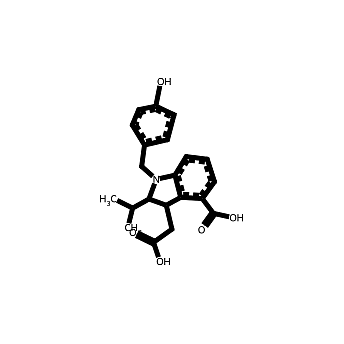 CC(C)C1C(CC(=O)O)c2c(C(=O)O)cccc2N1Cc1ccc(O)cc1